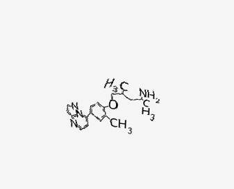 Cc1cc(-c2ccnc3ccnn23)ccc1OCC(C)CC(C)N